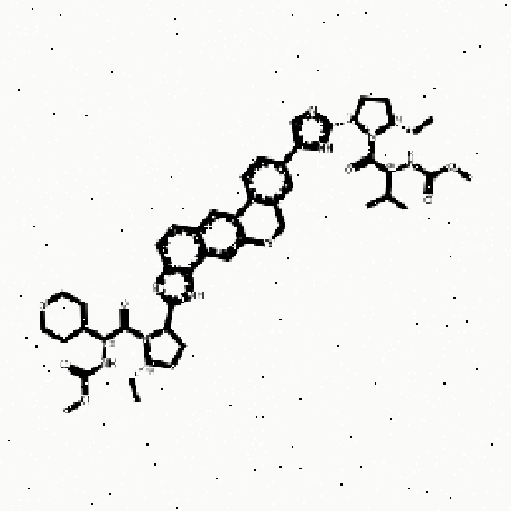 CC[C@H]1CCC(c2nc3ccc4cc5c(cc4c3[nH]2)OCc2cc(-c3cnc([C@@H]4CC[C@H](CC)N4C(=O)[C@@H](NC(=O)OC)C(C)C)[nH]3)ccc2-5)N1C(=O)[C@@H](NC(=O)OC)C1CCOCC1